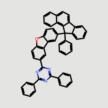 c1ccc(-c2nc(-c3ccccc3)nc(-c3ccc4oc5ccc(C6(c7ccccc7)c7ccccc7-c7ccc8ccccc8c76)cc5c4c3)n2)cc1